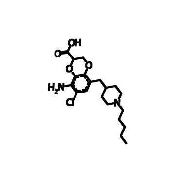 CCCCCN1CCC(Cc2cc(Cl)c(N)c3c2OCC(C(=O)O)O3)CC1